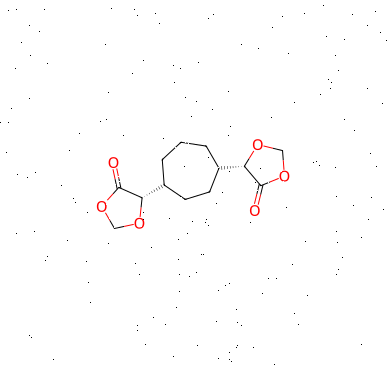 O=C1OCO[C@H]1C1CCCC([C@@H]2OCOC2=O)CC1